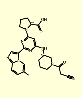 N#CCC(=O)N1CCC[C@@H](Nc2cc(N3CCC[C@H]3C(=O)O)nc(-c3cnc4ccc(F)cn34)n2)C1